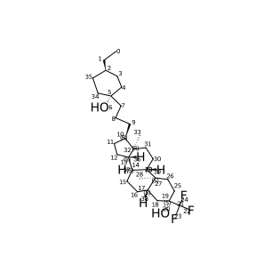 CC[C@H]1CC[C@@](O)(CCC[C@@H]2CC[C@H]3[C@@H]4CC[C@H]5C[C@](O)(C(F)(F)F)CC[C@]5(C)[C@H]4CC[C@]23C)CC1